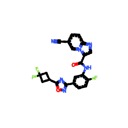 N#Cc1ccc2ncc(C(=O)Nc3cc(-c4noc(C5CC(F)(F)C5)n4)ccc3F)n2c1